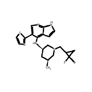 C[C@H]1C[C@@H](Nc2c(-c3nccs3)cnc3[nH]ccc23)CN(CC2CC2(F)F)C1